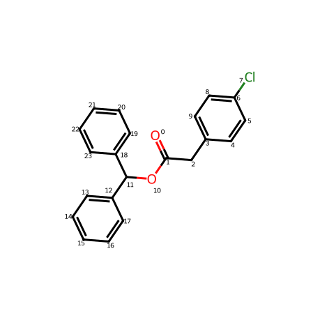 O=C(Cc1ccc(Cl)cc1)OC(c1ccccc1)c1ccccc1